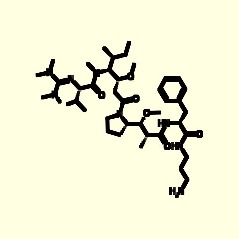 CC[C@H](C)[C@@H]([C@@H](CC(=O)N1CCC[C@H]1[C@H](OC)[C@@H](C)C(=O)N[C@@H](Cc1ccccc1)C(=O)NCCCN)OC)N(C)C(=O)[C@@H](N=C(N(C)C)N(C)C)C(C)C